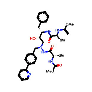 C=C(NC(C(=O)N[C@@H](Cc1ccccc1)[C@@H](O)CN(Cc1ccc(-c2ccccn2)cc1)NC(=O)[C@@H](NC(=O)OC)C(C)(C)C)C(C)(C)C)OC